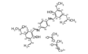 CC(=O)[O-].CC(=O)[O-].CCc1cc(CC(C)C)cc(C=Nc2ccc(N=Cc3cc(CC(C)C)cc(CC)c3O)cc2)c1O.[Co+2]